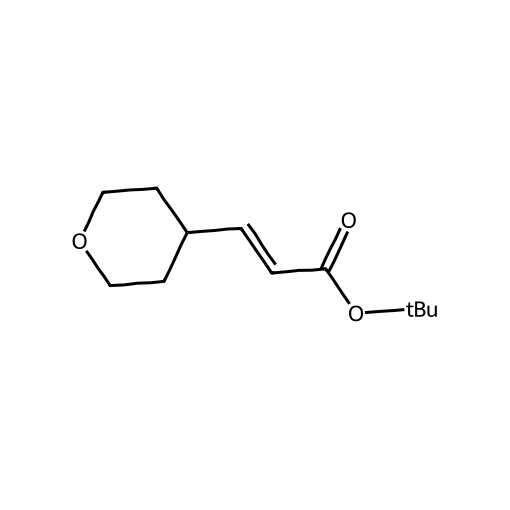 CC(C)(C)OC(=O)/C=C/C1CCOCC1